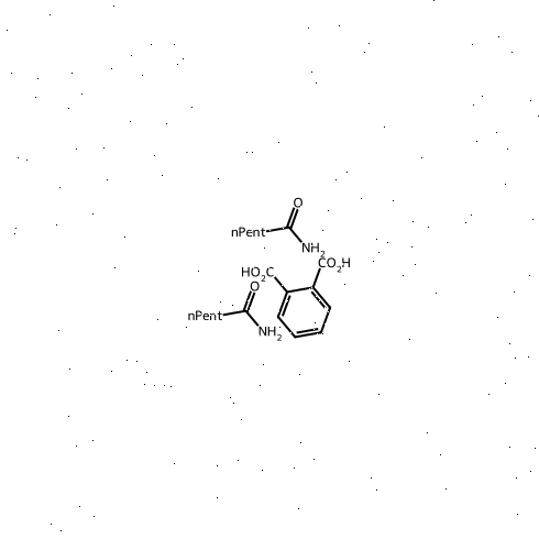 CCCCCC(N)=O.CCCCCC(N)=O.O=C(O)c1ccccc1C(=O)O